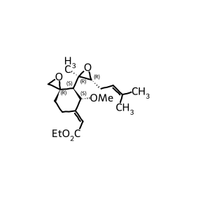 CCOC(=O)C=C1CC[C@]2(CO2)[C@@H]([C@@]2(C)O[C@@H]2CC=C(C)C)[C@@H]1OC